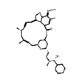 CC1=CC2C(=O)OC3CC(C/C=C(\C)C[C@@H](C)/C=C/C=C4\COC(/C1=N/O)C42)O[C@@H](CC[C@H](C)[C@H](O)C1CCCCC1)C3